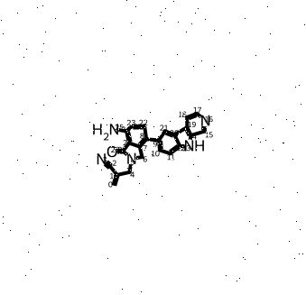 C=C(C#N)CN1Cc2c(-c3ccc4[nH]c5cnccc5c4c3)ccc(N)c2C1=O